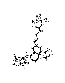 C=C(c1nc(/C=C/CNC(=O)OC(C)(C)C)cc2c(N[C@@H]3C[C@H]4CC[C@@H]([C@@H]3F)N4C)cccc12)C(F)(F)F